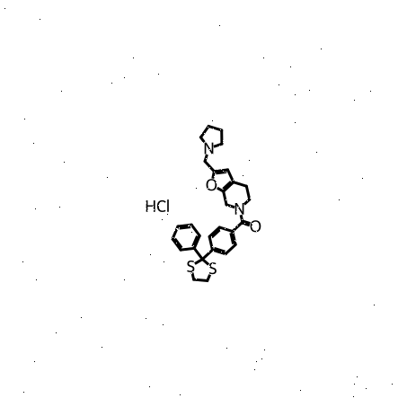 Cl.O=C(c1ccc(C2(c3ccccc3)SCCS2)cc1)N1CCc2cc(CN3CCCC3)oc2C1